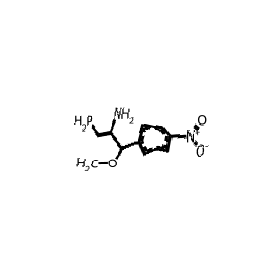 COC(c1ccc([N+](=O)[O-])cc1)C(N)CP